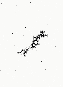 CCCN(CCC)CCCCC1=Cc2ccc(CNCc3ncc[nH]3)cc2C1